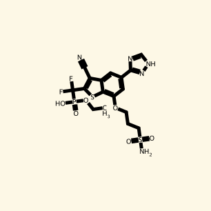 CCOP(=O)(O)C(F)(F)c1sc2c(OCCCS(N)(=O)=O)cc(-c3nc[nH]n3)cc2c1C#N